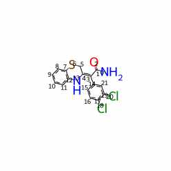 NC(=O)C(=C1CSc2ccccc2N1)c1ccc(Cl)c(Cl)c1